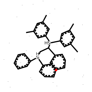 Cc1cc(C)cc([SiH](c2cc(C)cc(C)c2)C(C[SiH](c2ccccc2)c2ccccc2)c2ccccc2)c1